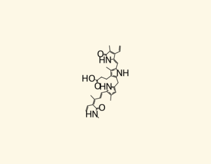 C=CC1=C(C)C(=O)N/C1=C\c1[nH]c(Cc2cc(C)c(/C=C/C(C)=C(/C=C)C(=O)NC)[nH]2)c(CCC(=O)O)c1C